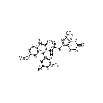 COc1ccc(N(C)C(=O)[C@H](Cc2cc(F)cc(F)c2)NC(=O)Cn2nc(C(F)(F)F)c3c2CCC(=O)C3)cc1